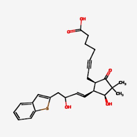 CC1(C)C(=O)[C@H](CC#CCCCC(=O)O)[C@H](C=CC(O)Cc2cc3ccccc3s2)[C@@H]1O